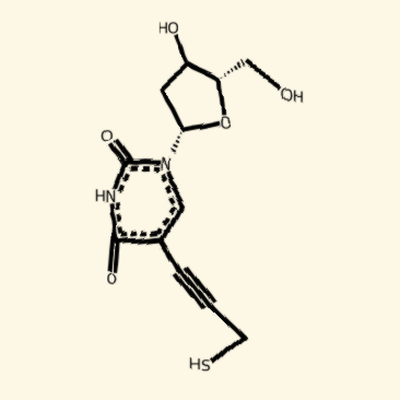 O=c1[nH]c(=O)n([C@@H]2CC(O)[C@H](CO)O2)cc1C#CCS